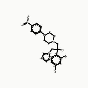 O=[N+]([O-])c1ccc(N2CCN(CC(O)(Cn3cncn3)c3ccc(Cl)cc3Cl)CC2)cc1